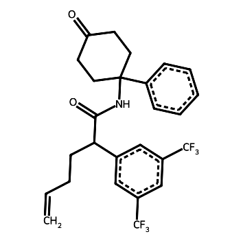 C=CCCC(C(=O)NC1(c2ccccc2)CCC(=O)CC1)c1cc(C(F)(F)F)cc(C(F)(F)F)c1